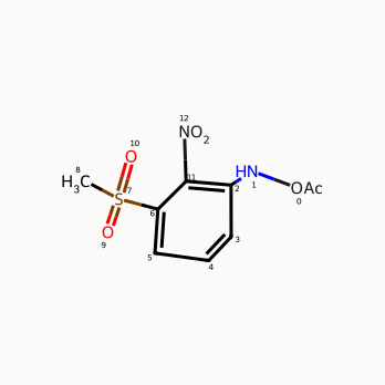 CC(=O)ONc1cccc(S(C)(=O)=O)c1[N+](=O)[O-]